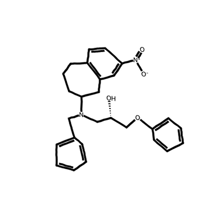 O=[N+]([O-])c1ccc2c(c1)CC(N(Cc1ccccc1)C[C@H](O)COc1ccccc1)CCC2